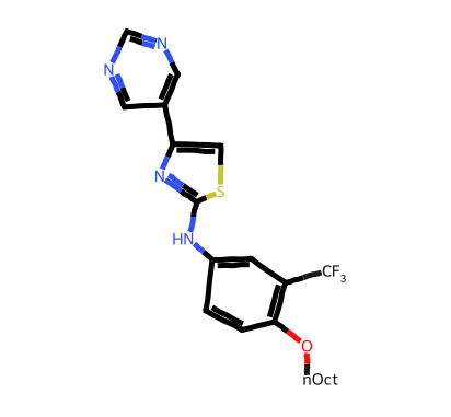 CCCCCCCCOc1ccc(Nc2nc(-c3cncnc3)cs2)cc1C(F)(F)F